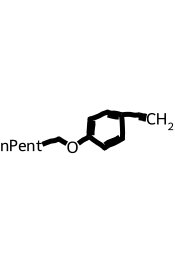 C=Cc1ccc(OCCCCCC)cc1